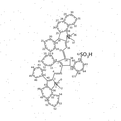 C[N+]1(C)C(C=CC2=C(c3ccccc3)C(=CC=C3C(c4ccccc4)c4ccc5ccccc5c4[N+]3(C)C)CC2)=C(c2ccccc2)c2ccc3ccccc3c21.Cc1ccc(S(=O)(=O)O)cc1